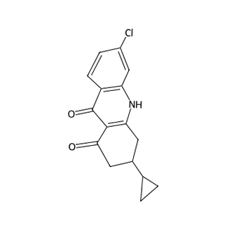 O=C1CC(C2CC2)Cc2[nH]c3cc(Cl)ccc3c(=O)c21